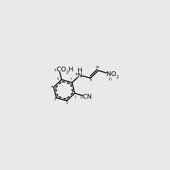 N#Cc1cccc(C(=O)O)c1N/C=C/[N+](=O)[O-]